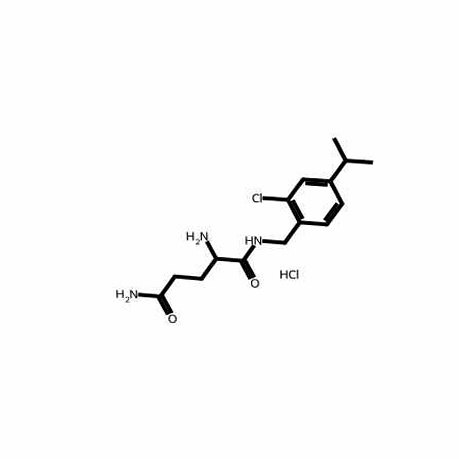 CC(C)c1ccc(CNC(=O)C(N)CCC(N)=O)c(Cl)c1.Cl